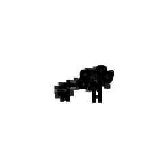 COC(=O)C1=C(C)NC(C)=C(C(=O)OCCCc2cccnc2)C1C(C)C